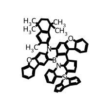 Cc1cc2c(cc1N1c3cc4oc5ccccc5c4cc3B3c4c1cc1oc5ccccc5c1c4-c1cccc4c1N3c1ccccc1[Si]41c3ccccc3-c3ccccc31)C(C)(C)CCC2(C)C